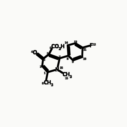 Cc1cc(=O)c(C(=O)O)c(-c2ccc(F)cc2)n1C